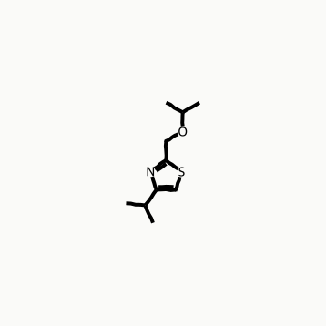 CC(C)OCc1nc(C(C)C)cs1